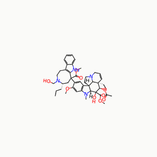 CCC[C@H]1CC(C(=O)OC)(c2cc3c(cc2OC)N(C)[C@H]2C(O)(C(=O)OC)[C@H](OC(C)=O)[C@]4(CC)C=CCN5CC[C@]32[C@@H]54)c2[nH]c3ccccc3c2CCN1CO